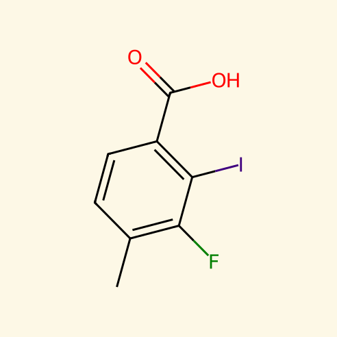 Cc1ccc(C(=O)O)c(I)c1F